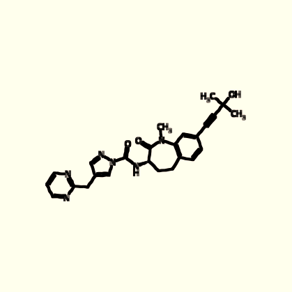 CN1C(=O)[C@H](NC(=O)n2cc(Cc3ncccn3)cn2)CCc2ccc(C#CC(C)(C)O)cc21